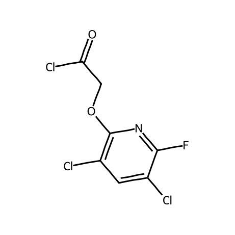 O=C(Cl)COc1nc(F)c(Cl)cc1Cl